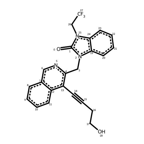 O=c1n(Cc2ncc3ccccc3c2C#CCCO)c2ccccc2n1CC(F)(F)F